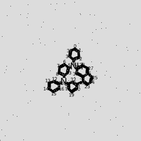 c1ccc(Nc2cccc(N(c3ccccc3)c3cccc(-c4cccc5ccccc45)c3)c2)cc1